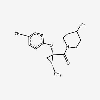 CC(C)C1CCN(C(=O)[C@]2(Oc3ccc(Cl)cc3)C[C@H]2C)CC1